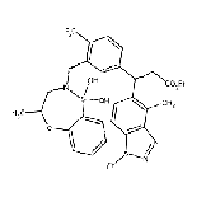 CCOC(=O)CC(c1ccc(C(F)(F)F)c(CN2CC(C)Oc3ccccc3S2(O)O)c1)c1ccc2c(nnn2CC)c1C